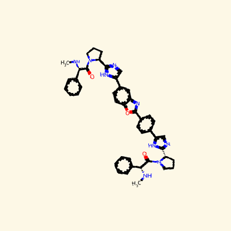 CN[C@@H](C(=O)N1CCCC1c1ncc(-c2ccc3oc(-c4ccc(-c5cnc([C@@H]6CCCN6C(=O)[C@H](NC)c6ccccc6)[nH]5)cc4)nc3c2)[nH]1)c1ccccc1